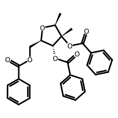 C[C@@H]1O[C@H](COC(=O)c2ccccc2)[C@@H](OC(=O)c2ccccc2)[C@@]1(C)OC(=O)c1ccccc1